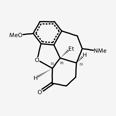 CC[C@@]12c3c4ccc(OC)c3O[C@@H]1C(=O)CC[C@@H]2C(NC)C4